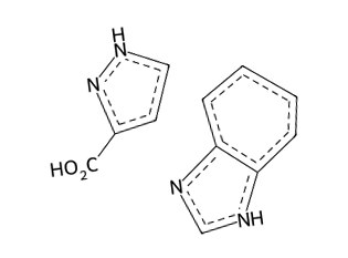 O=C(O)c1cc[nH]n1.c1ccc2[nH]cnc2c1